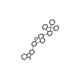 c1ccc(C2(c3ccccc3)c3ccccc3-c3c(-c4ccc5c6c(cccc46)-c4cc(-c6ccc7sc8ccccc8c7c6)ccc4O5)cccc32)cc1